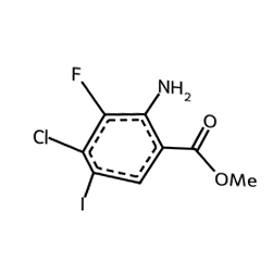 COC(=O)c1cc(I)c(Cl)c(F)c1N